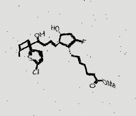 COC(=O)CCCC=CC[C@H]1C(F)C[C@@H](O)[C@@H]1C=CCC(O)C1(c2ccc(Cl)s2)CCC1C